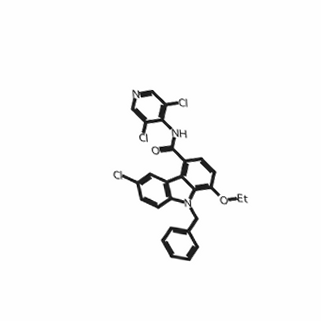 CCOc1ccc(C(=O)Nc2c(Cl)cncc2Cl)c2c3cc(Cl)ccc3n(Cc3ccccc3)c12